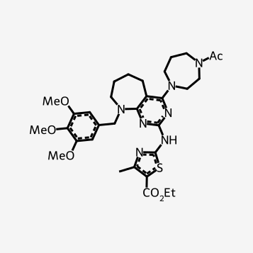 CCOC(=O)c1sc(Nc2nc(N3CCCN(C(C)=O)CC3)c3c(n2)N(Cc2cc(OC)c(OC)c(OC)c2)CCCC3)nc1C